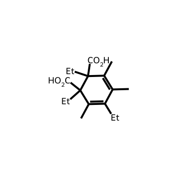 CCC1=C(C)C(CC)(C(=O)O)C(CC)(C(=O)O)C(C)=C1C